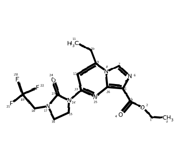 CCOC(=O)c1ncn2c(CC)cc(N3CCN(CC(F)(F)F)C3=O)nc12